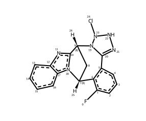 Fc1cccc2c1[C@H]1C[C@H](c3nc4ccccc4n31)N1C2=NNN1Cl